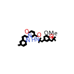 COc1cc(CC(C)(C)NC(=O)c2ccc(=O)n(-c3ccc4cc(C)ccc4n3)c2)cc2c1OC(C)(C)C2